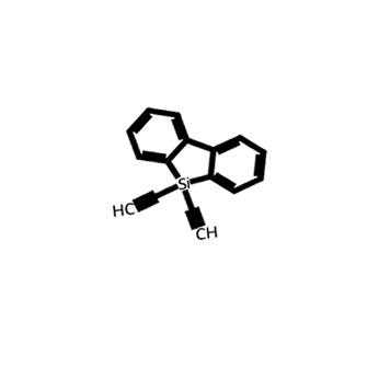 C#C[Si]1(C#C)c2ccccc2-c2ccccc21